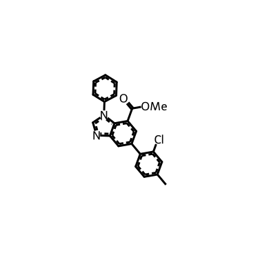 COC(=O)c1cc(-c2ccc(C)cc2Cl)cc2ncn(-c3ccccc3)c12